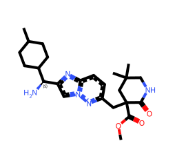 COC(=O)C1(Cc2ccc3nc([C@@H](N)C4CCC(C)CC4)cn3n2)CC(C)(C)CNC1=O